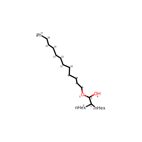 CCCCCCC(CCCCCC)C(O)OCCCCCCCCCCCC(C)C